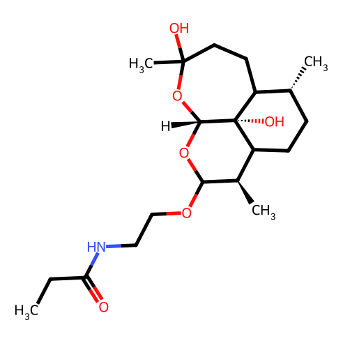 CCC(=O)NCCOC1O[C@@H]2OC(C)(O)CCC3[C@H](C)CCC([C@H]1C)[C@]32O